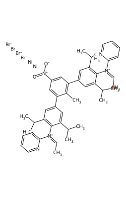 CC=[N+](c1ccccn1)c1c(C(C)C)cc(-c2cc([N+](=O)[O-])cc(-c3cc(C(C)C)c([N+](=CC)c4ccccn4)c(C(C)C)c3)c2C)cc1C(C)C.[Br-].[Br-].[Br-].[Br-].[Ni].[Ni]